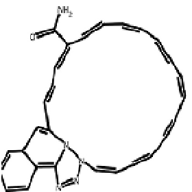 NC(=O)c1ccccccccccccccn2nnc3n-2c(ccc1)=CC1C=CC=CC=31